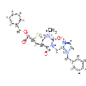 Cn1c(=O)n(Cc2nccn2Cc2ccccc2)c(=O)c2cc(C(=O)OCc3ccccc3)sc21